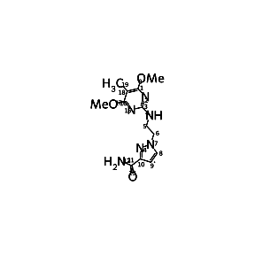 COc1nc(NCCn2c[c]c(C(N)=O)n2)nc(OC)c1C